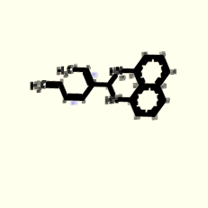 C=C/C=C\C(=C/C)C1Nc2cccc3cccc(c23)N1